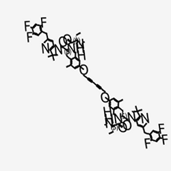 CC[C@H](NC)C(=O)N[C@@H](Cc1c(C)cc(OCC#CC#CCOc2cc(C)c(C[C@H](NC(=O)[C@H](CC)NC)C(=O)N3CC(C)(C)c4ncc(Cc5cc(F)c(F)cc5F)cc43)c(C)c2)cc1C)C(=O)N1CC(C)(C)c2ncc(Cc3cc(F)c(F)cc3F)cc21